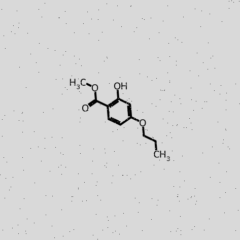 CCCOc1ccc(C(=O)OC)c(O)c1